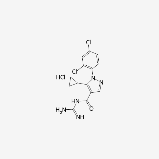 Cl.N=C(N)NC(=O)c1cnn(-c2ccc(Cl)cc2Cl)c1C1CC1